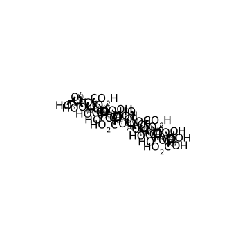 C[C@@H]1OC(CO)[C@@H](O)C(O[C@@H]2OC(C(=O)O)[C@@H](O[C@@H]3OC(CO)[C@@H](O)C(O[C@@H]4OC(C(=O)O)[C@@H](O[C@@H]5OC(CO)[C@@H](O)C(O[C@@H]6OC(C(=O)O)[C@@H](O[C@@H]7OC(CO)[C@@H](O)C(O[C@@H]8OC(C(=O)O)[C@@H](O)C(O)[C@@H]8O)[C@@H]7C)C(O)[C@@H]6O)[C@@H]5C)C(O)[C@@H]4O)[C@@H]3C)C(O)[C@@H]2O)[C@@H]1C